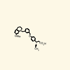 CC#C[C@@H](CC(=O)O)c1ccc(OCc2cccc(CN3CCCc4ccc(OC)cc43)c2)cc1